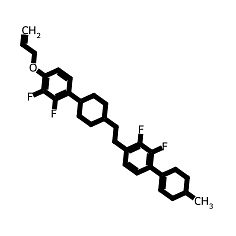 C=CCOc1ccc(C2CCC(CCc3ccc(C4=CCC(C)CC4)c(F)c3F)CC2)c(F)c1F